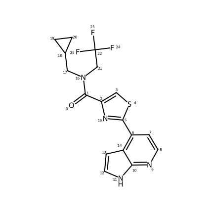 O=C(c1csc(-c2ccnc3[nH]ccc23)n1)N(CC1CC1)CC(F)(F)F